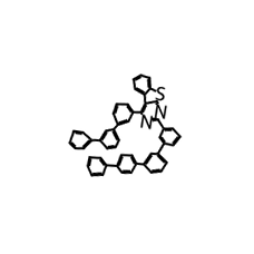 c1ccc(-c2ccc(-c3cccc(-c4cccc(-c5nc(-c6cccc(-c7cccc(-c8ccccc8)c7)c6)c6c(n5)sc5ccccc56)c4)c3)cc2)cc1